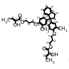 CC=C(O)C(=O)OCCCOc1ccc(C2(c3ccc(OCCCOC(=O)C(O)=CC)c(C)c3)CCc3ccccc32)cc1C